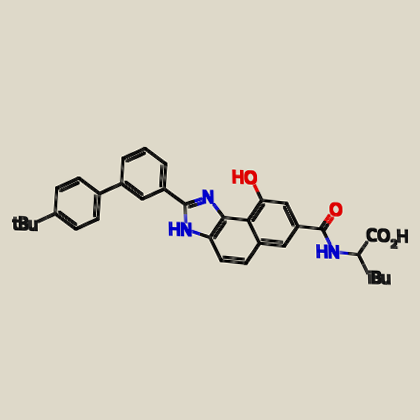 CCC(C)C(NC(=O)c1cc(O)c2c(ccc3[nH]c(-c4cccc(-c5ccc(C(C)(C)C)cc5)c4)nc32)c1)C(=O)O